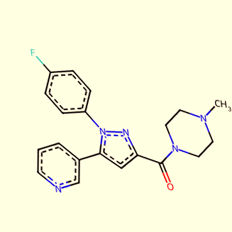 CN1CCN(C(=O)c2cc(-c3cccnc3)n(-c3ccc(F)cc3)n2)CC1